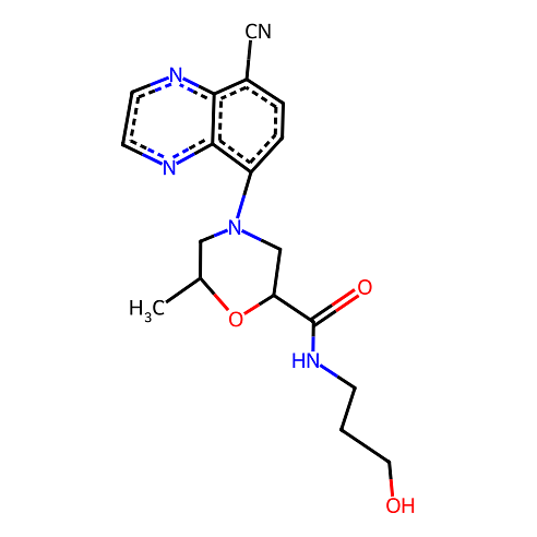 CC1CN(c2ccc(C#N)c3nccnc23)CC(C(=O)NCCCO)O1